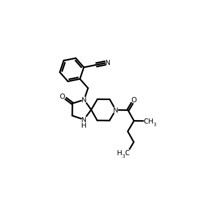 CCCC(C)C(=O)N1CCC2(CC1)NCC(=O)N2Cc1ccccc1C#N